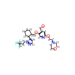 O=Cc1cc(OCCN2CCOCC2)ncc1OCC1CCCCC1c1ccnn1CCC(F)(F)F